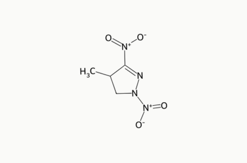 CC1CN([N+](=O)[O-])N=C1[N+](=O)[O-]